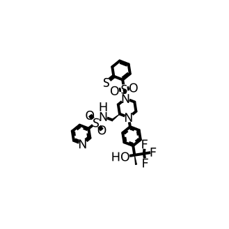 C[C@@](O)(c1ccc(N2CCN(S(=O)(=O)C3=CC=CCC3=S)C[C@@H]2CNS(=O)(=O)c2cccnc2)cc1)C(F)(F)F